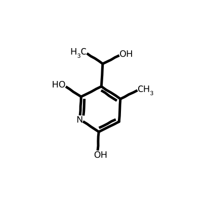 Cc1cc(O)nc(O)c1C(C)O